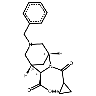 COC(=O)[C@H]1[C@H]2C[C@H](CN(Cc3ccccc3)C2)N1C(=O)C1CC1